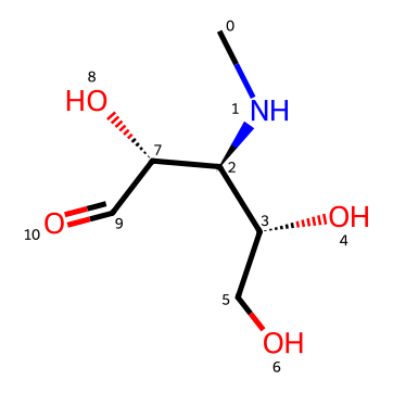 CN[C@@H]([C@H](O)CO)[C@@H](O)C=O